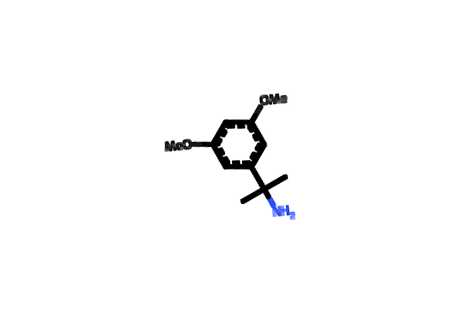 COc1cc(OC)cc(C(C)(C)N)c1